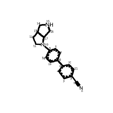 N#Cc1ccc(-c2ccc(N3CCC4CNCC43)cc2)cc1